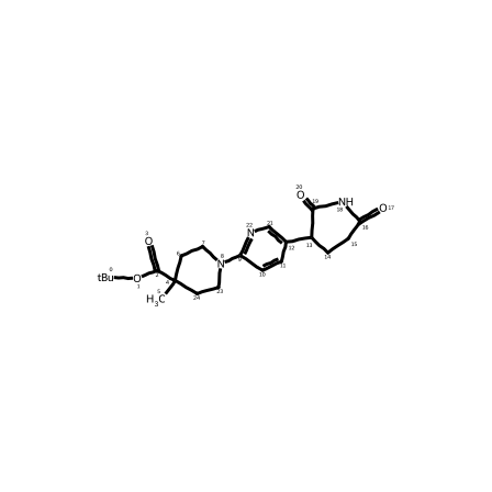 CC(C)(C)OC(=O)C1(C)CCN(c2ccc(C3CCC(=O)NC3=O)cn2)CC1